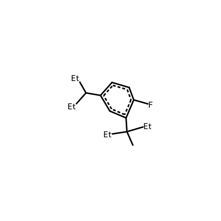 CCC(CC)c1ccc(F)c(C(C)(CC)CC)c1